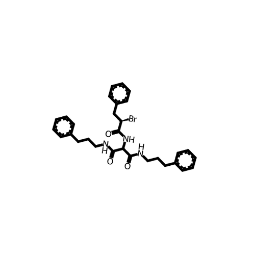 O=C(NCCCc1ccccc1)C(NC(=O)[C@H](Br)Cc1ccccc1)C(=O)NCCCc1ccccc1